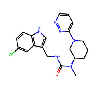 CN(C(=O)NCc1c[nH]c2ccc(Cl)cc12)[C@@H]1CCCN(c2cccnn2)C1